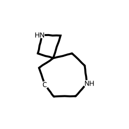 C1CCC2(CCNC1)CNC2